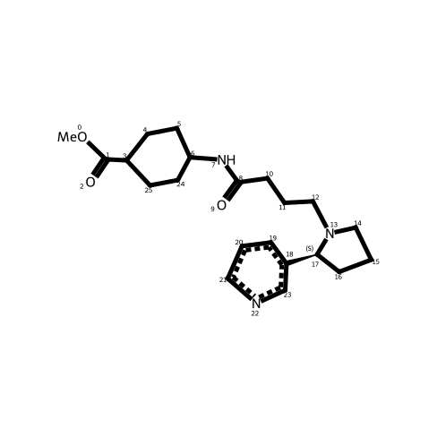 COC(=O)C1CCC(NC(=O)CCCN2CCC[C@H]2c2cccnc2)CC1